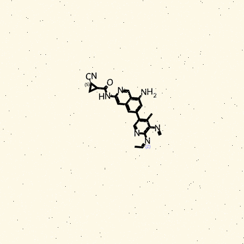 C=Nc1c(/N=C\C)ncc(-c2cc(N)c3cnc(NC(=O)C4C[C@@H]4C#N)cc3c2)c1C